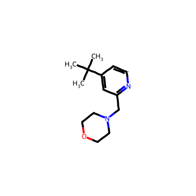 CC(C)(C)c1c[c]nc(CN2CCOCC2)c1